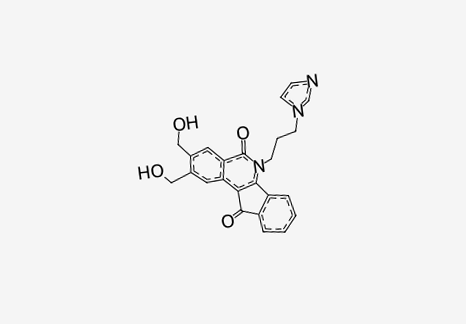 O=C1c2ccccc2-c2c1c1cc(CO)c(CO)cc1c(=O)n2CCCn1ccnc1